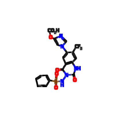 O=C(O)Oc1cn(-c2cc3c(=O)n(NS(=O)(=O)c4ccccc4)c(=O)[nH]c3cc2C(F)(F)F)cn1